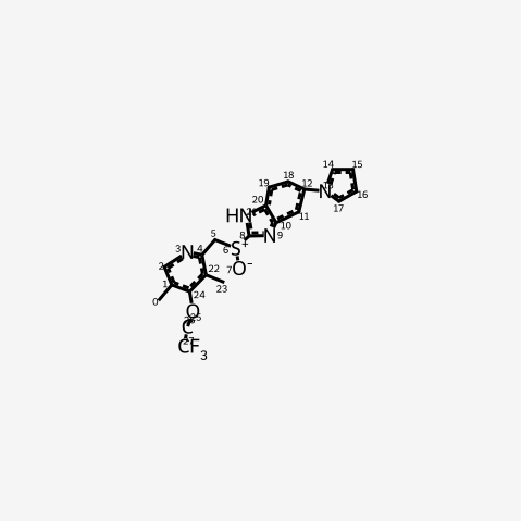 Cc1cnc(C[S+]([O-])c2nc3cc(-n4cccc4)ccc3[nH]2)c(C)c1OCC(F)(F)F